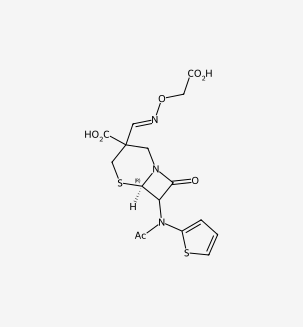 CC(=O)N(c1cccs1)C1C(=O)N2CC(C=NOCC(=O)O)(C(=O)O)CS[C@H]12